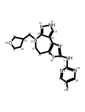 Fc1cnc(Nc2nc3c(s2)CCN(CC2CCOC2)c2n[nH]cc2-3)nc1